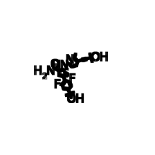 Cc1nc(Nc2sc(-c3c(F)cc(C(C)(C)O)cc3F)cc2C(N)=O)ccc1C#CC(C)(C)O